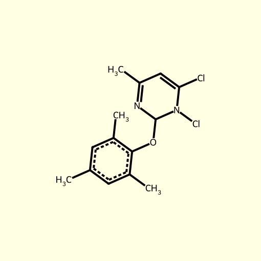 CC1=NC(Oc2c(C)cc(C)cc2C)N(Cl)C(Cl)=C1